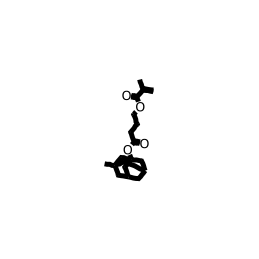 C=C(C)C(=O)OCCCC(=O)OC12CC3CC(CC(C)(C3)C1)C2